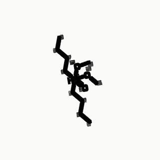 CCC[CH2][Hf](=[O])([CH2]CCC)([O]C)[O]C